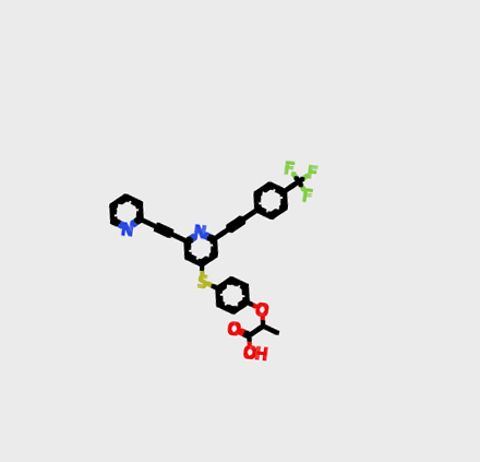 CC(Oc1ccc(Sc2cc(C#Cc3ccc(C(F)(F)F)cc3)nc(C#Cc3ccccn3)c2)cc1)C(=O)O